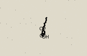 CCCCCCCCOC(=O)C1C=CC(C)(C(=O)O)C(C)C1